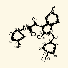 Cc1ccc2c(c1)c(C(=O)C(=O)Nc1cccc(F)c1)c(Cl)n2Cc1ccc(Cl)cc1